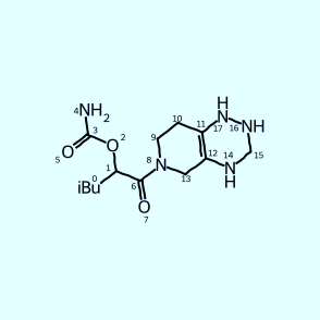 CCC(C)C(OC(N)=O)C(=O)N1CCC2=C(C1)NCNN2